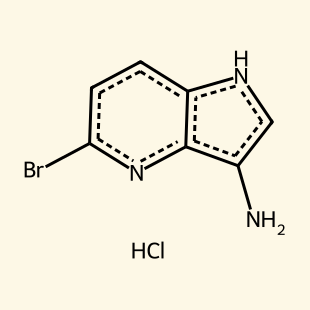 Cl.Nc1c[nH]c2ccc(Br)nc12